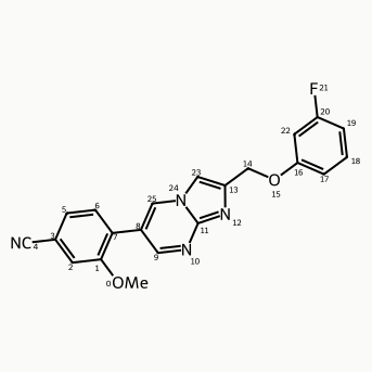 COc1cc(C#N)ccc1-c1cnc2nc(COc3cccc(F)c3)cn2c1